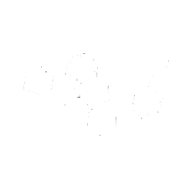 CCOc1ccccc1OC(c1ccccc1)C1CCCCN1C(=O)CC(CN)CC(C)C